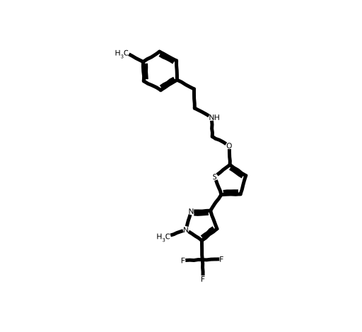 Cc1ccc(CCNCOc2ccc(-c3cc(C(F)(F)F)n(C)n3)s2)cc1